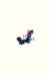 CC(C)(C)OC(=O)N1CC=C(c2cc3c(Nc4ccc5ncc(-c6ccccc6)n5c4)ccnc3[nH]2)CC1